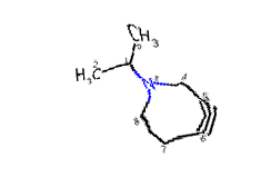 CC(C)N1CC#CCC1